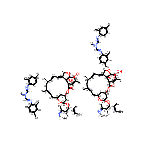 CO/N=C1/C[C@]2(C[C@@H]3C[C@@H](C/C=C(\C)C[C@@H](C)/C=C/C=C4\CO[C@@H]5[C@H](O)C(C)=C[C@@H](C(=O)O3)[C@]45O)O2)O[C@H](/C(C)=C/C(C)C)[C@H]1C.CO/N=C1/C[C@]2(C[C@@H]3C[C@@H](C/C=C(\C)C[C@@H](C)/C=C/C=C4\CO[C@@H]5[C@H](O)C(C)=C[C@@H](C(=O)O3)[C@]45O)O2)O[C@H](/C(C)=C/C(C)C)[C@H]1C.Cc1ccc(/N=C/N(C)/C=N/c2ccc(C)cc2C)c(C)c1.Cc1ccc(/N=C/N(C)/C=N/c2ccc(C)cc2C)c(C)c1